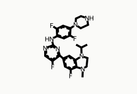 CC(C)N1CCN(C)c2c(F)cc(-c3nc(Nc4cc(F)c(N5CCNCC5)cc4F)ncc3F)cc21